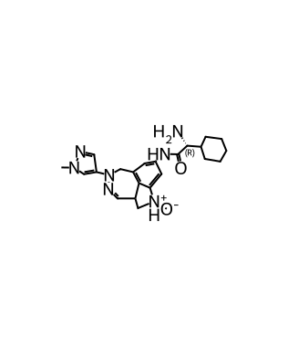 Cn1cc(N2Cc3cc(NC(=O)[C@H](N)C4CCCCC4)cc4c3C(C=N2)C[NH+]4[O-])cn1